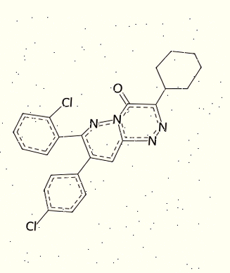 O=c1c(C2CCCCC2)nnc2cc(-c3ccc(Cl)cc3)c(-c3ccccc3Cl)nn12